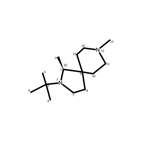 C[C@@H]1N(C(C)(C)C)CCC12CCN(C)CC2